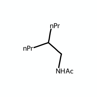 CCCC(CCC)CNC(C)=O